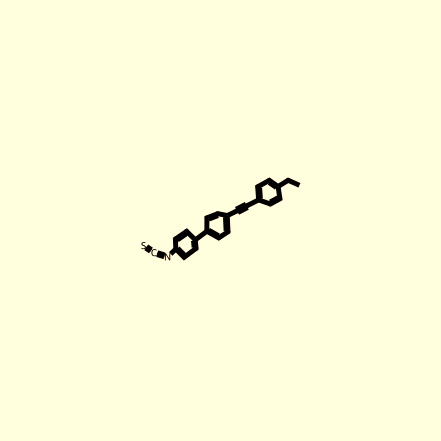 CCc1ccc(C#Cc2ccc(-c3ccc(N=C=S)cc3)cc2)cc1